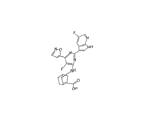 O=C(O)C1C2CCC(CC2)C1Nc1nc(-c2c[nH]c3ncc(F)cc23)nc(-c2ccno2)c1F